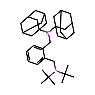 CC(C)(C)P(Cc1cc[c]cc1CP(C12CC3CC(CC(C3)C1)C2)C12CC3CC(CC(C3)C1)C2)C(C)(C)C